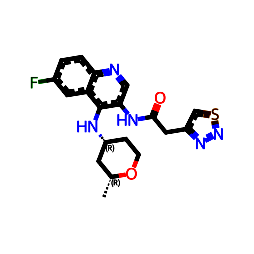 C[C@@H]1C[C@H](Nc2c(NC(=O)Cc3csnn3)cnc3ccc(F)cc23)CCO1